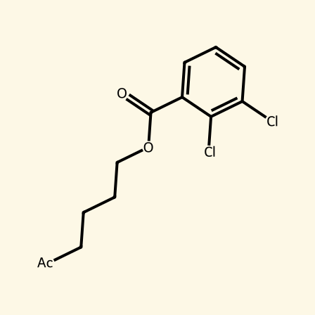 CC(=O)CCCCOC(=O)c1cccc(Cl)c1Cl